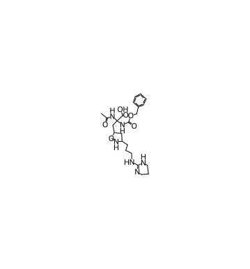 CC(=O)NC(CC1CC(CCCNC2=NCCCN2)NO1)(NC(=O)OCc1ccccc1)C(=O)O